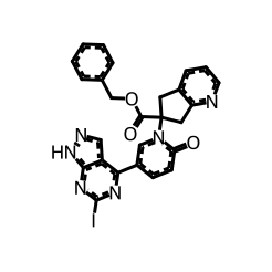 O=C(OCc1ccccc1)C1(n2cc(-c3nc(I)nc4[nH]ncc34)ccc2=O)Cc2cccnc2C1